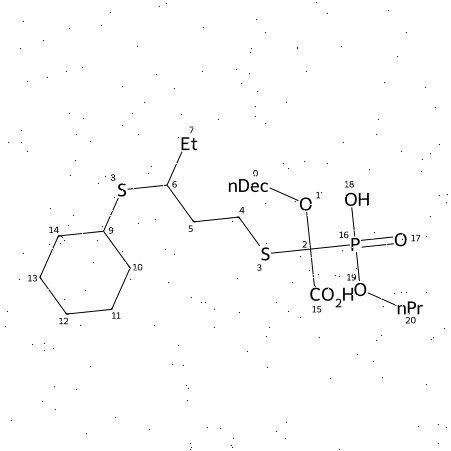 CCCCCCCCCCOC(SCCC(CC)SC1CCCCC1)(C(=O)O)P(=O)(O)OCCC